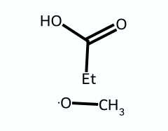 CCC(=O)O.C[O]